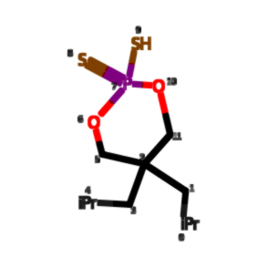 CC(C)CC1(CC(C)C)COP(=S)(S)OC1